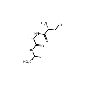 CC(C)C[C@@H](N)C(=O)N[C@@H](C)C(=O)N[C@@H](C)C(=O)O